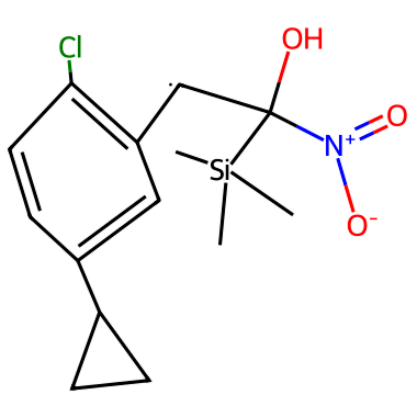 C[Si](C)(C)C(O)([CH]c1cc(C2CC2)ccc1Cl)[N+](=O)[O-]